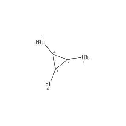 CCC1C(C(C)(C)C)C1C(C)(C)C